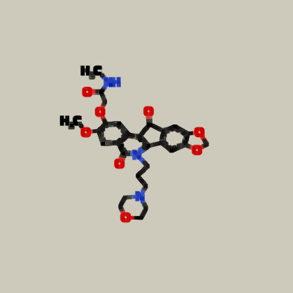 CNC(=O)COc1cc2c3c(n(CCCN4CCOCC4)c(=O)c2cc1OC)-c1cc2c(cc1C3=O)OCO2